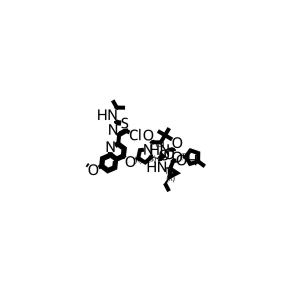 CC[C@@H]1C[C@]1(NC(=O)[C@@H]1C[C@@H](Oc2cc(-c3nc(NC(C)C)sc3Cl)nc3cc(OC)ccc23)CN1C(=O)[C@@H](NC(=O)O[C@@H]1CCC(C)C1)C(C)(C)C)C(=O)O